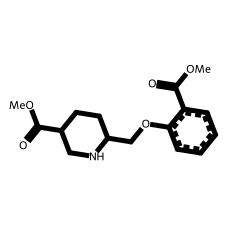 COC(=O)c1ccccc1OCC1CCC(C(=O)OC)CN1